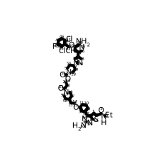 CCNC(=O)c1cc2c(-c3cccc(OCCC4CCN(C(=O)CCOC(=O)N5CCC(n6cc(-c7cnc(N)c(O[C@H](C)c8c(Cl)ccc(F)c8Cl)c7)cn6)CC5)CC4)c3)nc(N)nc2s1